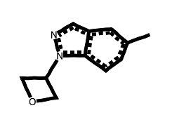 Cc1ccc2c(cnn2C2COC2)c1